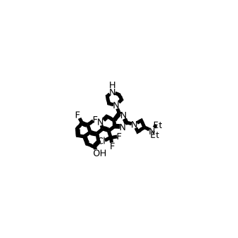 CCN(CC)C1CN(c2nc(N3CCNCC3)c3cnc(-c4cc(O)cc5ccc(F)c(F)c45)c(C(F)(F)Cl)c3n2)C1